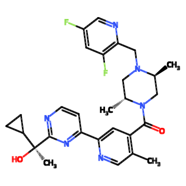 Cc1cnc(-c2ccnc([C@@](C)(O)C3CC3)n2)cc1C(=O)N1C[C@H](C)N(Cc2ncc(F)cc2F)C[C@H]1C